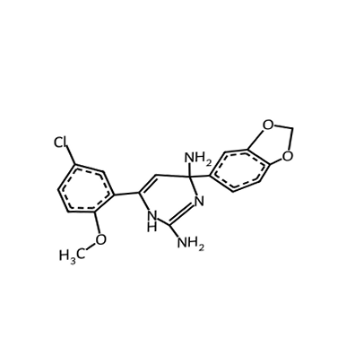 COc1ccc(Cl)cc1C1=CC(N)(c2ccc3c(c2)OCO3)N=C(N)N1